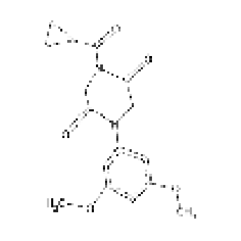 COc1cc(OC)cc(N2CC(=O)N(C(=O)C3CC3)CC2=O)c1